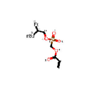 C=CC(=O)OCS(=O)(=O)OCC(CC)CCCC